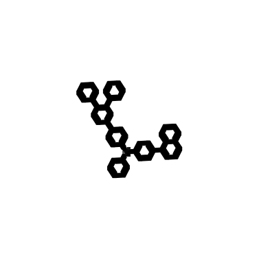 c1ccc(-c2ccc(-c3ccc(N(c4ccccc4)c4ccc(-c5cccc6ccccc56)cc4)cc3)cc2-c2ccccc2)cc1